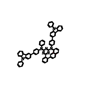 c1ccc(-c2ccccc2-c2nc(N(c3ccccc3)c3ccc(-c4ccc5c(c4)c4ccccc4n5-c4ccccc4)cc3)nc(N(c3ccccc3)c3ccc(-c4ccc5c(c4)c4ccccc4n5-c4ccccc4)cc3)n2)cc1